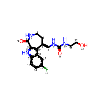 O=C(N/C=C1\CCNC(=O)c2[nH]c3ccc(F)cc3c21)NCCO